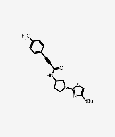 CC(C)(C)c1csc(N2CCC(NC(=O)C#Cc3ccc(C(F)(F)F)cc3)C2)n1